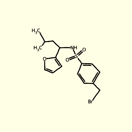 CC(C)CC(NS(=O)(=O)c1ccc(CBr)cc1)c1ccco1